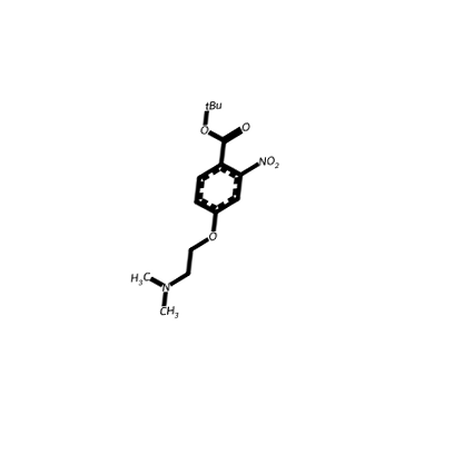 CN(C)CCOc1ccc(C(=O)OC(C)(C)C)c([N+](=O)[O-])c1